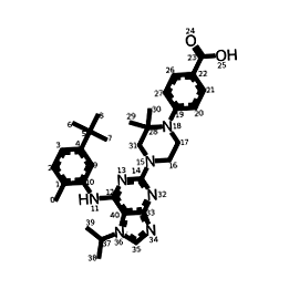 Cc1ccc(C(C)(C)C)cc1Nc1nc(N2CCN(c3ccc(C(=O)O)cc3)C(C)(C)C2)nc2ncn(C(C)C)c12